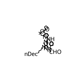 CCCCCCCCCCCCCCn1nc(C(C)(c2ccccc2)N(C)C=O)c2cc(Nc3ccc4c(n3)CC(C)(C)OC4=C3CCCO3)ncc21